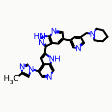 Cc1cn(-c2cncc3[nH]c(-c4n[nH]c5ncc(-c6cncc(CN7CCCCC7)c6)cc45)cc23)cn1